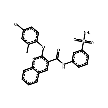 Cc1cc(Cl)ccc1Oc1nc2ccccc2cc1C(=O)Nc1cccc(S(N)(=O)=O)c1